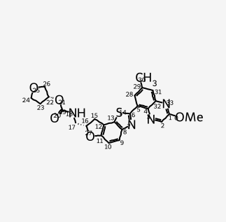 COc1cnc2c(-c3nc4ccc5c(c4s3)C[C@@H](CNC(=O)O[C@@H]3CCOC3)O5)cc(C)cc2n1